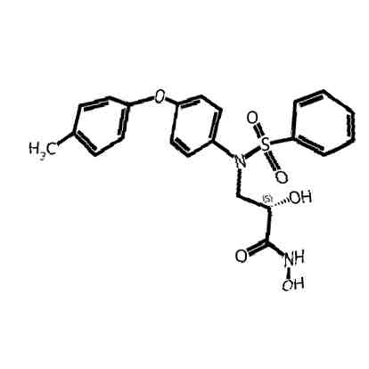 Cc1ccc(Oc2ccc(N(C[C@H](O)C(=O)NO)S(=O)(=O)c3ccccc3)cc2)cc1